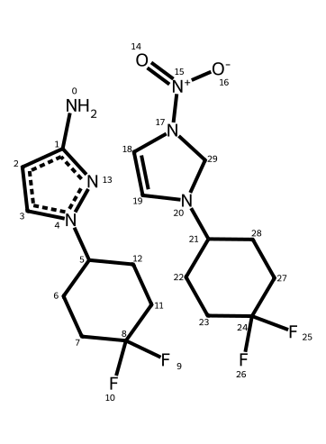 Nc1ccn(C2CCC(F)(F)CC2)n1.O=[N+]([O-])N1C=CN(C2CCC(F)(F)CC2)C1